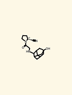 N#C[C@@H]1CCCN1C(=O)CNC1C2CC3CC1CC(O)(C3)C2